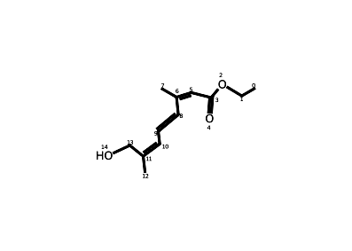 CCOC(=O)C=C(C)C=CC=C(C)CO